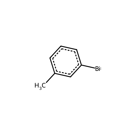 Cc1ccc[c]([Bi])c1